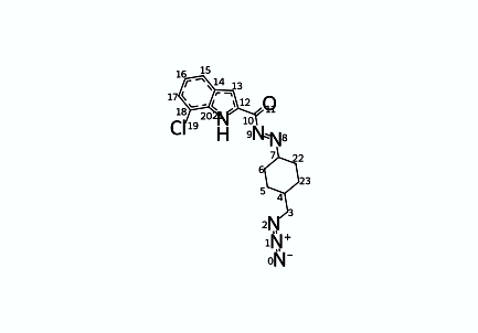 [N-]=[N+]=NCC1CCC(N=NC(=O)c2cc3cccc(Cl)c3[nH]2)CC1